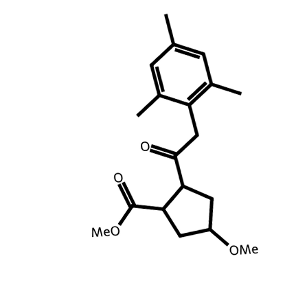 COC(=O)C1CC(OC)CC1C(=O)Cc1c(C)cc(C)cc1C